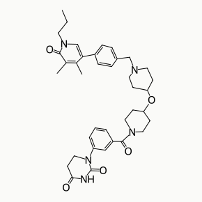 CCCn1cc(-c2ccc(CN3CCC(OC4CCN(C(=O)c5cccc(N6CCC(=O)NC6=O)c5)CC4)CC3)cc2)c(C)c(C)c1=O